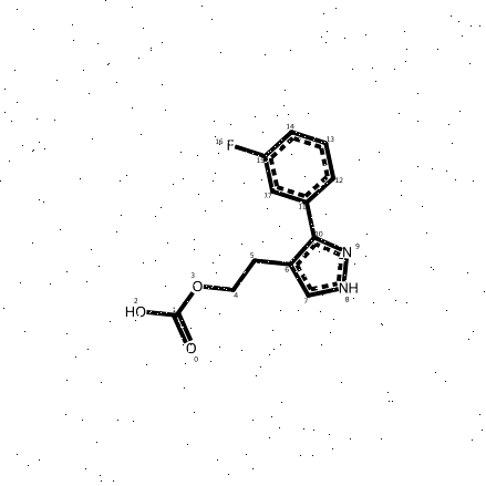 O=C(O)OCCc1c[nH]nc1-c1cccc(F)c1